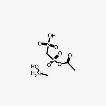 CC(=O)OS(=O)(=O)CS(=O)(=O)O.C[SiH2]O